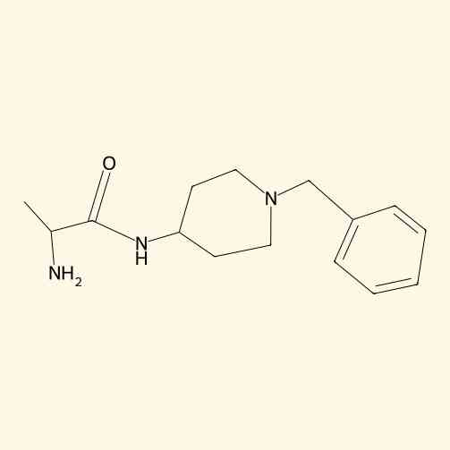 CC(N)C(=O)NC1CCN(Cc2ccccc2)CC1